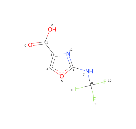 O=C(O)c1coc(NC(F)(F)F)n1